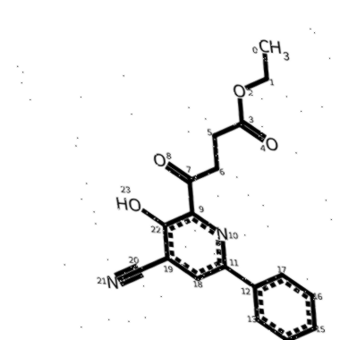 CCOC(=O)CCC(=O)c1nc(-c2ccccc2)cc(C#N)c1O